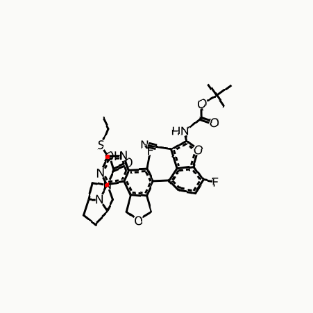 CCSc1nc(N2C3CCC2CN(C(=O)O)C3)c2c3c(c(-c4ccc(F)c5oc(NC(=O)OC(C)(C)C)c(C#N)c45)c(F)c2n1)COC3